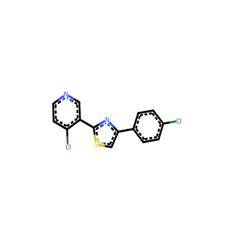 Clc1ccc(-c2csc(-c3cnccc3Cl)n2)cc1